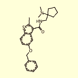 Cc1sc2ccc(OCc3ccccc3)cc2c1C(=O)NCC1(N(C)C)CCCC1